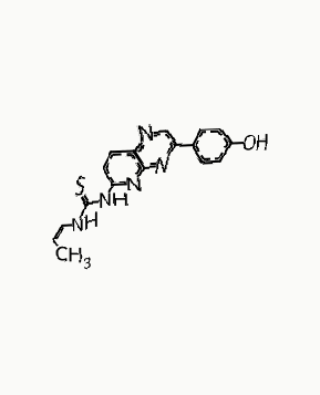 C/C=C\NC(=S)Nc1ccc2ncc(-c3ccc(O)cc3)nc2n1